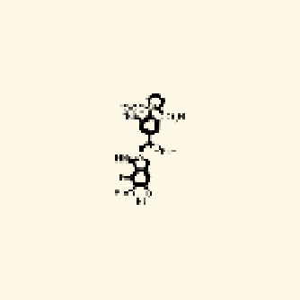 Br.CCOc1cc2c(c(F)c1OCC)C(=N)N(CC(=O)c1ccc([N+]3(C(=O)[O-])CCCC3C(=O)O)c(C(C)(C)C)c1)C2